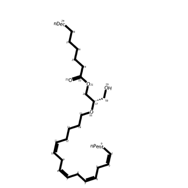 CCCCC/C=C\C/C=C\C/C=C\C/C=C\CCCCO[C@@H](CO)COC(=O)CCCCCCCCCCCCCCC